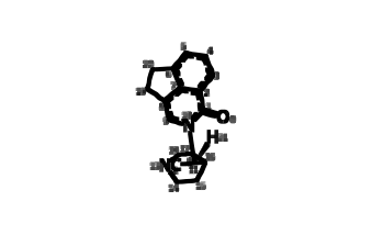 O=c1c2cccc3c2c(cn1[C@H]1CN2CCC1CC2)CC3